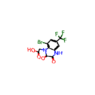 O=C(O)Cn1c(=O)c(=O)[nH]c2cc(C(F)(F)F)cc(Br)c21